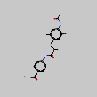 COC(=O)c1ccc(NC(=O)C(C)Cc2cc(OC)c(NC(=O)C(C)C)cc2C)cc1